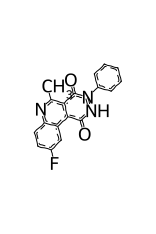 Cc1nc2ccc(F)cc2c2c(=O)[nH]n(-c3ccccc3)c(=O)c12